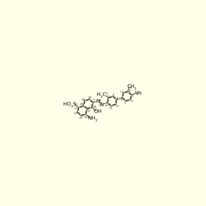 Cc1cc(-c2ccc(C(C)C)c(C)c2)ccc1N=Nc1ccc2c(S(=O)(=O)O)ccc(N)c2c1O